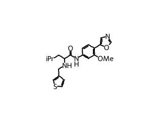 COc1cc(NC(=O)C(CC(C)C)NCc2ccsc2)ccc1-c1cnco1